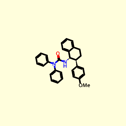 COc1ccc([C@@H]2CCc3ccccc3[C@H]2NC(=O)N(c2ccccc2)c2ccccc2)cc1